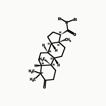 CCN(CC)C(=O)[C@H]1CC[C@H]2[C@@H]3CC[C@@H]4[C@](C)(CCC(=O)[N+]4(C)C)[C@H]3CC[C@]12C